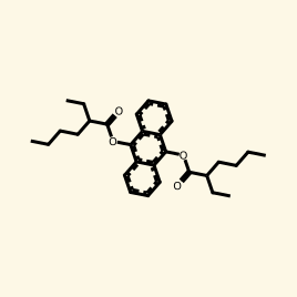 CCCCC(CC)C(=O)Oc1c2ccccc2c(OC(=O)C(CC)CCCC)c2ccccc12